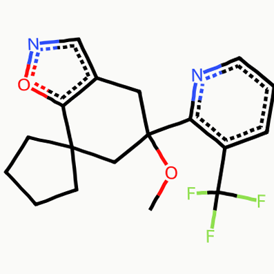 COC1(c2ncccc2C(F)(F)F)Cc2cnoc2C2(CCCC2)C1